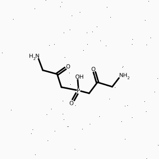 NCC(=O)CP(=O)(O)CC(=O)CN